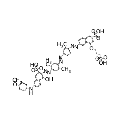 COc1ccc(Nc2ccc3c(O)c(N=Nc4cc(C)c(N=Nc5ccc(N=Nc6ccc7cc(S(=O)(=O)O)cc(OCCCS(=O)(=O)O)c7c6)c(C)c5)cc4C)c(S(=O)(=O)O)cc3c2)cc1